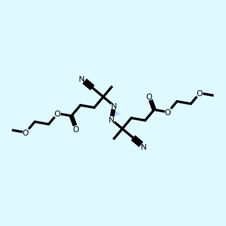 COCCOC(=O)CCC(C)(C#N)/N=N/C(C)(C#N)CCC(=O)OCCOC